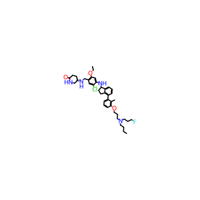 CCCCN(CCCF)CCCOc1cccc(-c2cccc3c2CCC3Nc2cc(OCC)c(CN[C@H]3CCC(=O)NC3)cc2Cl)c1C